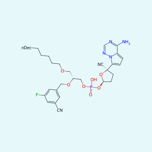 CCCCCCCCCCCCCCCOC[C@H](COP(=O)(O)O[C@@H]1CC[C@](C#N)(c2ccc3c(N)ncnn23)O1)OCc1cc(F)cc(C#N)c1